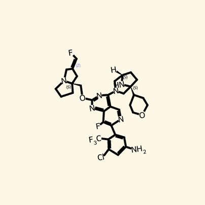 Nc1cc(Cl)c(C(F)(F)F)c(-c2ncc3c(N4C[C@@H]5CC[C@](C6CCOCC6)(C4)N5)nc(OC[C@@]45CCCN4C/C(=C\F)C5)nc3c2F)c1